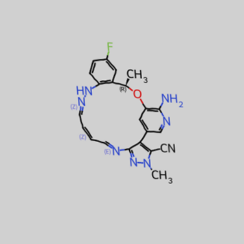 C[C@H]1Oc2cc(cnc2N)-c2c(nn(C)c2C#N)/N=C/C=C\C=N/Nc2ccc(F)cc21